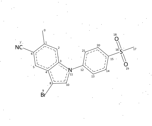 Cc1cc2c(cc1C#N)c(Br)cn2-c1ccc(S(C)(=O)=O)cc1